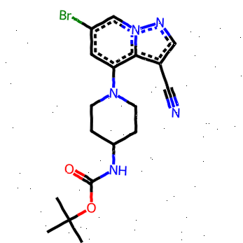 CC(C)(C)OC(=O)NC1CCN(c2cc(Br)cn3ncc(C#N)c23)CC1